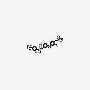 CCc1cc(Oc2cccc(CNC(=O)c3ccc(C(F)(F)F)cc3F)c2)ccc1CCC(=O)OC